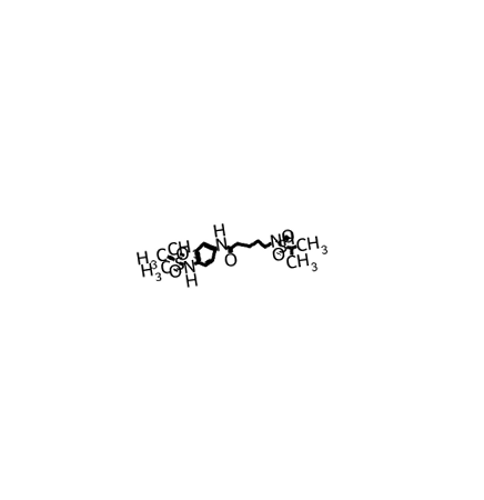 CC(C)S(=O)(=O)NCCCCC(=O)Nc1ccc(NS(=O)(=O)C(C)(C)C)cc1